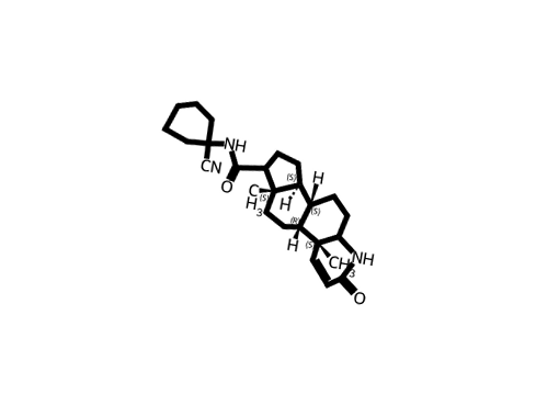 C[C@]12C=CC(=O)NC1CC[C@@H]1[C@H]2CC[C@]2(C)C(C(=O)NC3(C#N)CCCCC3)CC[C@@H]12